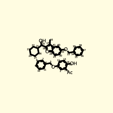 CC(=O)c1cc(OCc2ccccc2)ccc1O.Cc1c(C(O)C2CCCCC2)oc2ccc(OCc3ccccc3)cc12